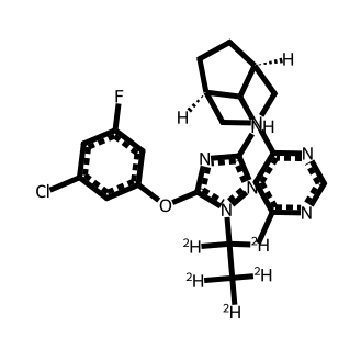 [2H]C([2H])([2H])C([2H])([2H])n1nc(NC2[C@@H]3CC[C@H]2CN(c2cc(C)ncn2)C3)nc1Oc1cc(F)cc(Cl)c1